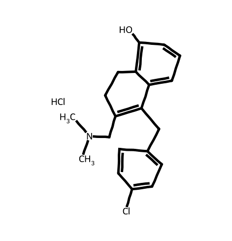 CN(C)CC1=C(Cc2ccc(Cl)cc2)c2cccc(O)c2CC1.Cl